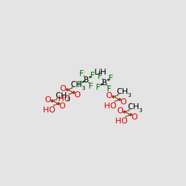 CS(=O)(=O)O.CS(=O)(=O)O.CS(=O)(=O)O.CS(=O)(=O)O.F[B-](F)(F)F.F[B-](F)(F)F.[LiH]